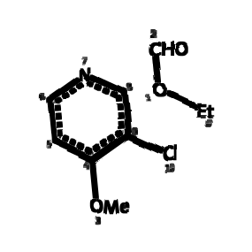 CCOC=O.COc1ccncc1Cl